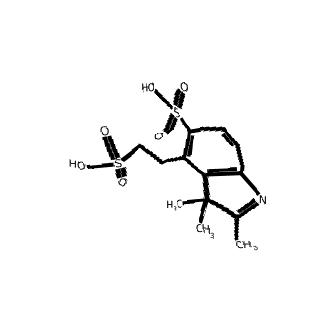 CC1=Nc2ccc(S(=O)(=O)O)c(CCS(=O)(=O)O)c2C1(C)C